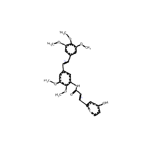 COc1cc(/C=C/c2cc(OC)c(OC)c(OC)c2)cc(NC(=O)/C=C/c2cccc(O)c2)c1OC